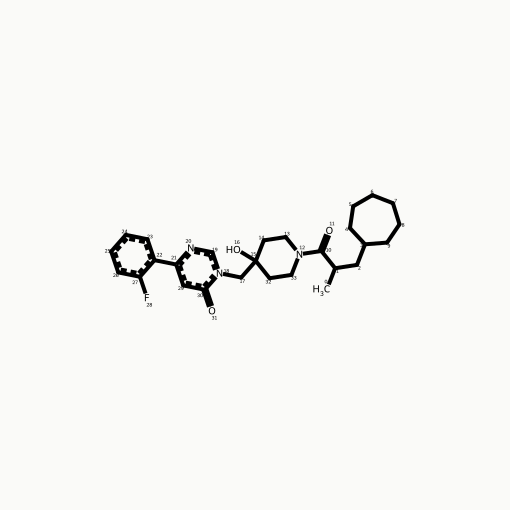 CC(CC1CCCCCC1)C(=O)N1CCC(O)(Cn2cnc(-c3ccccc3F)cc2=O)CC1